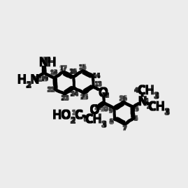 CC(=O)O.CN(C)c1cccc(C(=O)Oc2ccc3cc(C(=N)N)ccc3c2)c1